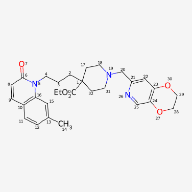 CCOC(=O)C1(CCCn2c(=O)ccc3ccc(C)cc32)CCN(Cc2cc3c(cn2)OCCO3)CC1